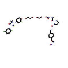 CC(C)(C)C(NC(=O)COCCCOCCCCOc1ccc(N2C(=S)N(c3cc(Cl)c(C#N)cc3F)C(=O)C2(C)C)cc1F)C(=O)N1C[C@H](O)C[C@H]1C(=O)NCc1ccc(-c2cnco2)cc1